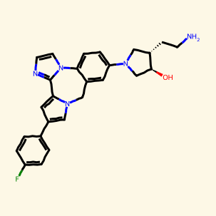 NCC[C@H]1CN(c2ccc3c(c2)Cn2cc(-c4ccc(F)cc4)cc2-c2nccn2-3)C[C@@H]1O